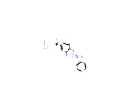 CC(C)(C)c1ccc(CNOc2ccccc2)cc1